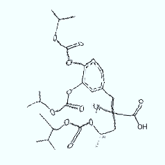 CC(C)OC(=O)Oc1ccc(CC(N)(C[C@H](C)OC(=O)OC(C)C(C)C)C(=O)O)cc1OC(=O)OC(C)C